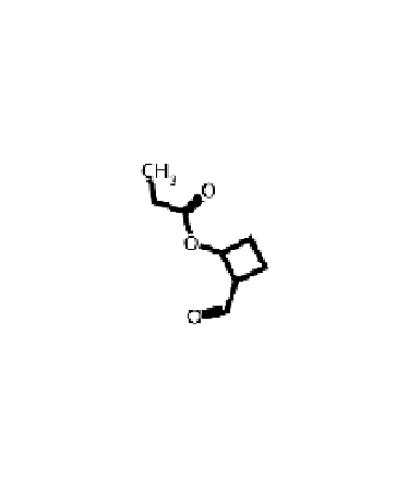 CCC(=O)OC1CCC1C=O